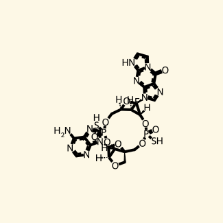 Nc1ncnc2c1ncn2[C@@H]1O[C@@]23CO[C@@H]1[C@@H]2OP(=O)(S)OC[C@H]1O[C@@H](n2cnc4c(=O)n5cc[nH]c5nc42)[C@H](OP(=O)(S)OC3)[C@@H]1F